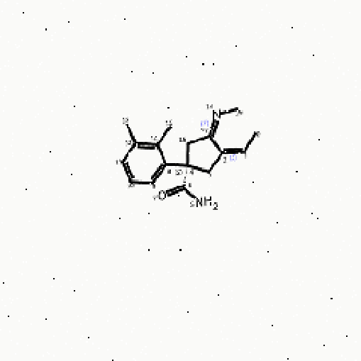 C/C=C1/C[C@@](C(N)=O)(c2cccc(C)c2C)C/C1=N/C